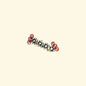 O=C1OC(=O)c2cc(Sc3cccc(Cc4cccc(Sc5ccc6c(c5)C(=O)OC6=O)c4)c3)ccc21